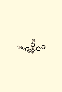 CCc1ccc(N2C(c3ccc(-c4ccccc4)cc3)=CNN2c2ccc(C(C)(C)C)cc2)cc1